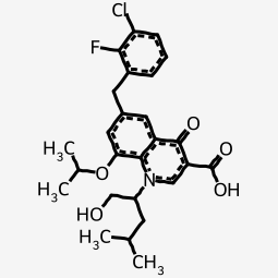 CC(C)CC(CO)n1cc(C(=O)O)c(=O)c2cc(Cc3cccc(Cl)c3F)cc(OC(C)C)c21